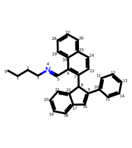 CCCC/N=C/c1c(C2C(c3ccccc3)=Cc3ccccc32)ccc2ccccc12